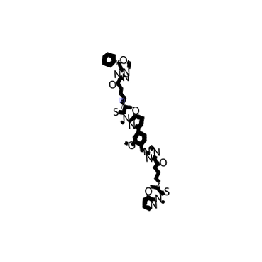 COc1cc(-c2ccc3c(n2)N(C)C(=S)[C@@H](/C=C/CCC(=O)c2nc4n(n2)CCO[C@H]4c2ccccc2)CO3)ccc1Cn1cnc(C(=O)CCCC[C@H]2COc3cccnc3N(C)C2=S)n1